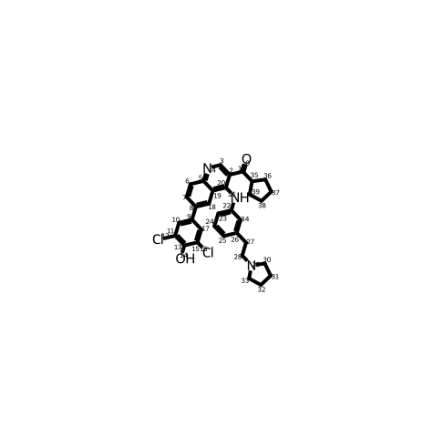 O=C(c1cnc2ccc(-c3cc(Cl)c(O)c(Cl)c3)cc2c1Nc1cccc(CCN2CCCC2)c1)C1CCCC1